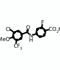 COc1c(Cl)cc(C(=O)Nc2ccc(C(=O)O)c(F)c2)cc1C(F)(F)F